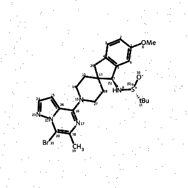 COc1ccc2c(c1)[C@@H](N[S@+]([O-])C(C)(C)C)C1(CCN(c3nc(C)c(Br)n4nccc34)CC1)C2